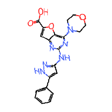 O=C(O)c1cc2nc(Nc3cc(-c4ccccc4)[nH]n3)nc(N3CCOCC3)c2o1